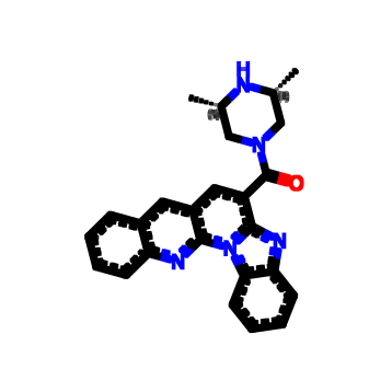 C[C@@H]1CN(C(=O)c2cc3cc4ccccc4nc3n3c2nc2ccccc23)C[C@H](C)N1